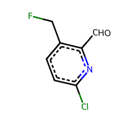 O=Cc1nc(Cl)ccc1CF